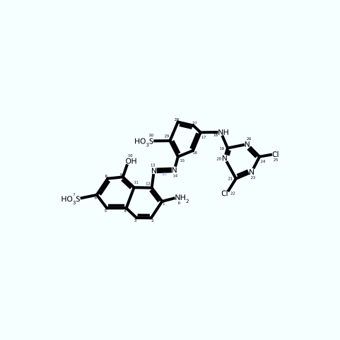 Nc1ccc2cc(S(=O)(=O)O)cc(O)c2c1/N=N/c1cc(Nc2nc(Cl)nc(Cl)n2)ccc1S(=O)(=O)O